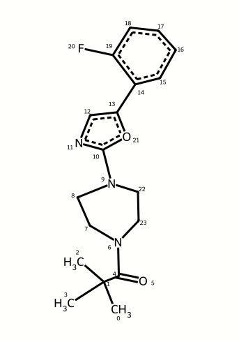 CC(C)(C)C(=O)N1CCN(c2ncc(-c3ccccc3F)o2)CC1